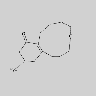 CC1CC(=O)C2=C(CCCCCCCC2)C1